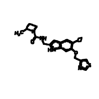 CC1CCN1C(=O)NCc1cc2cc(Cl)c(OCc3cscn3)cc2[nH]1